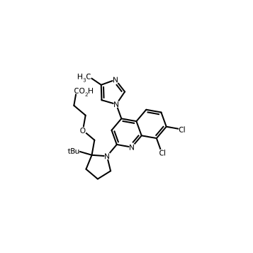 Cc1cn(-c2cc(N3CCCC3(COCCC(=O)O)C(C)(C)C)nc3c(Cl)c(Cl)ccc23)cn1